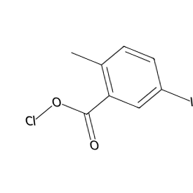 Cc1ccc(I)cc1C(=O)OCl